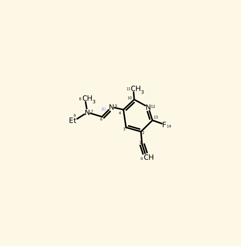 C#Cc1cc(/N=C/N(C)CC)c(C)nc1F